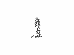 COC(=O)c1ccc(CCn2c(C)cc(O[SH](=O)=O)cc2=O)cc1